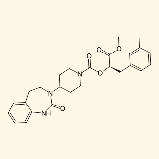 COC(=O)[C@@H](Cc1cccc(C)c1)OC(=O)N1CCC(N2CCc3ccccc3NC2=O)CC1